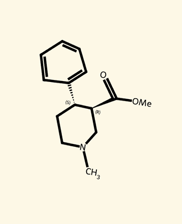 COC(=O)[C@H]1CN(C)CC[C@@H]1c1ccccc1